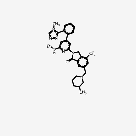 CCNc1cc(-c2ccccc2-c2nncn2C)cc(N2Cc3c(cc(CN4CCCC(C)C4)cc3C(F)(F)F)C2=O)n1